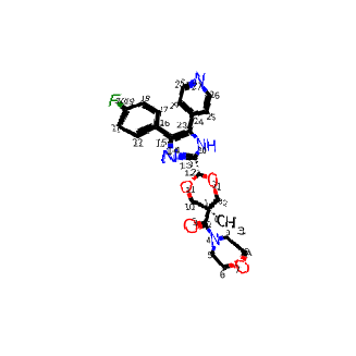 C[C@]1(C(=O)N2CCOCC2)CO[C@H](c2nc(-c3ccc(F)cc3)c(-c3ccncc3)[nH]2)OC1